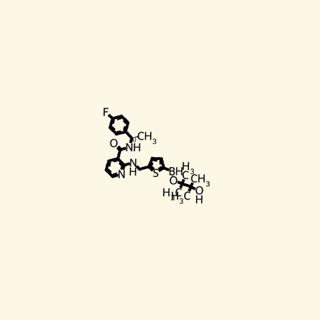 C[C@H](NC(=O)c1cccnc1NCc1ccc(BOC(C)(C)C(C)(C)O)s1)c1ccc(F)cc1